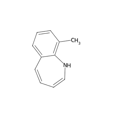 Cc1cccc2c1NC=CC=C2